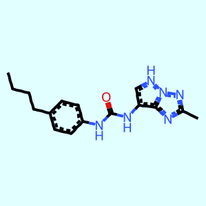 CCCCc1ccc(NC(=O)Nc2c[nH]n3nc(C)nc23)cc1